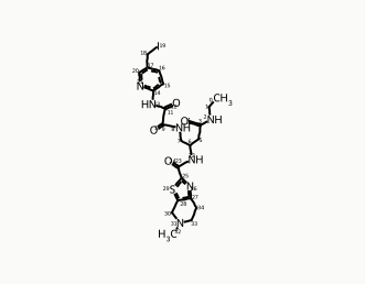 CCNC(=O)CC(CNC(=O)C(=O)Nc1ccc(CI)cn1)NC(=O)c1nc2c(s1)CN(C)CC2